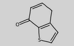 O=C1C=CCc2ccsc21